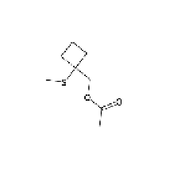 CSC1(COC(C)=O)CCC1